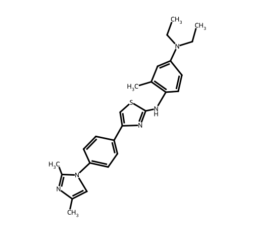 CCN(CC)c1ccc(Nc2nc(-c3ccc(-n4cc(C)nc4C)cc3)cs2)c(C)c1